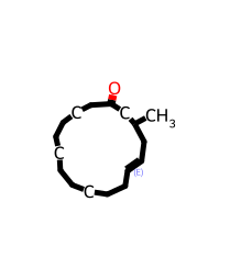 CC1C/C=C/CCCCCCCCCCC(=O)C1